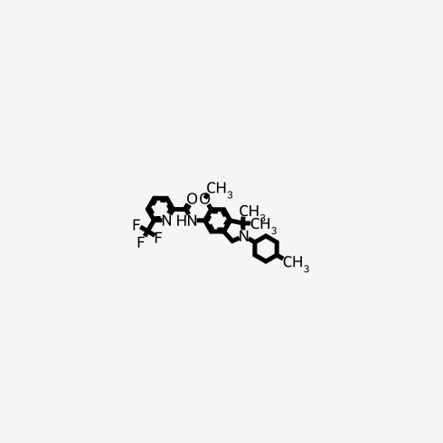 COc1cc2c(cc1NC(=O)c1cccc(C(F)(F)F)n1)CN(C1CCC(C)CC1)C2(C)C